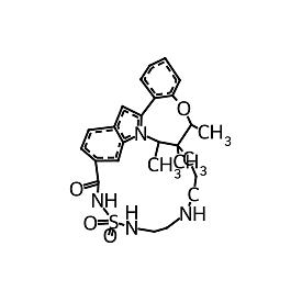 CC1Oc2ccccc2-c2cc3ccc4cc3n2C(C)C1(C)CCCNCCNS(=O)(=O)NC4=O